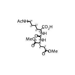 COC(=O)CC[C@H](NC(=O)N[C@@H](CCCCNC(C)=O)C(=O)O)C(=O)OC